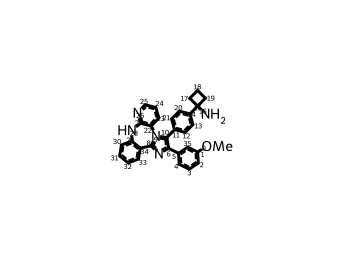 COc1cccc(-c2nc3n(c2-c2ccc(C4(N)CCC4)cc2)-c2cccnc2Nc2ccccc2-3)c1